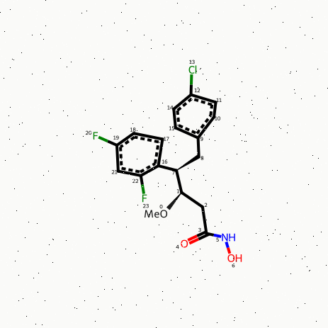 CO[C@H](CC(=O)NO)[C@H](Cc1ccc(Cl)cc1)c1ccc(F)cc1F